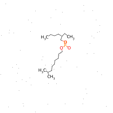 CCCCC(CC)CO[PH](=O)OCCCCCCCC(C)C